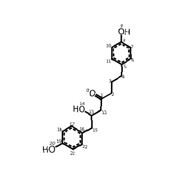 O=C(CCCc1ccc(O)cc1)CC(O)Cc1ccc(O)cc1